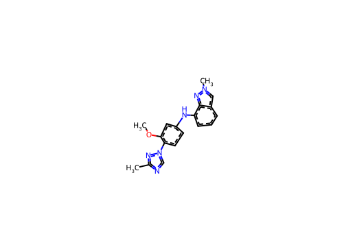 COc1cc(Nc2cccc3cn(C)nc23)ccc1-n1cnc(C)n1